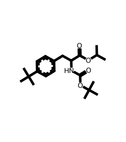 CC(C)OC(=O)C(Cc1ccc(C(C)(C)C)cc1)NC(=O)OC(C)(C)C